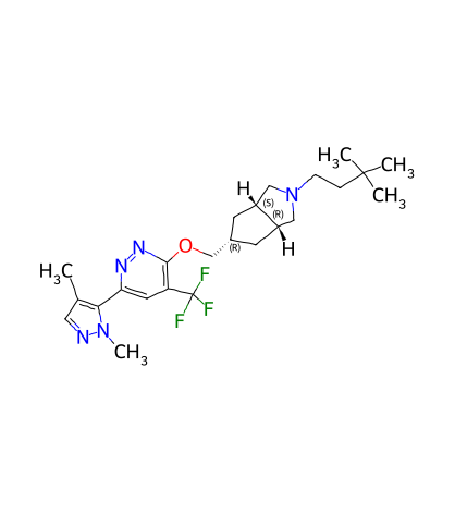 Cc1cnn(C)c1-c1cc(C(F)(F)F)c(OC[C@@H]2C[C@@H]3CN(CCC(C)(C)C)C[C@@H]3C2)nn1